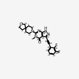 Cn1c(N2CCC3(CCOC3)CC2)nc2[nH]nc(C#Cc3cccc(F)c3F)c2c1=O